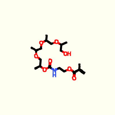 C=C(C)C(=O)OCCNC(=O)OC(C)COC(C)COC(C)COC(C)CO